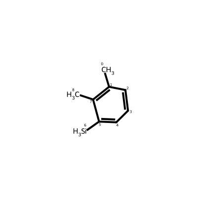 Cc1cccc([SiH3])c1C